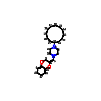 C1=C2OC/C(=C\N3CCN(C4CCCCCCCCCCC4)CC3)OC2=CCC1